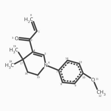 C=CC(=O)C1=CN(c2ccc(OC)cc2)CCC1(C)C